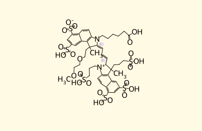 COCCOCCC1(C)/C(=C\C=C\C2=[N+](CCCS(=O)(=O)O)c3ccc4c(S(=O)(=O)O)cc(S(=O)(=O)O)cc4c3C2(C)CCCS(=O)(=O)O)N(CCCCCC(=O)O)c2ccc3c(S(=O)(=O)[O-])cc(S(=O)(=O)O)cc3c21